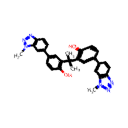 Cn1nnc2ccc(-c3ccc(O)c(C(C)(C)c4cc(-c5ccc6nnn(C)c6c5)ccc4O)c3)cc21